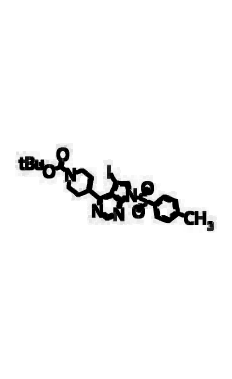 Cc1ccc(S(=O)(=O)n2cc(I)c3c(C4=CCN(C(=O)OC(C)(C)C)CC4)ncnc32)cc1